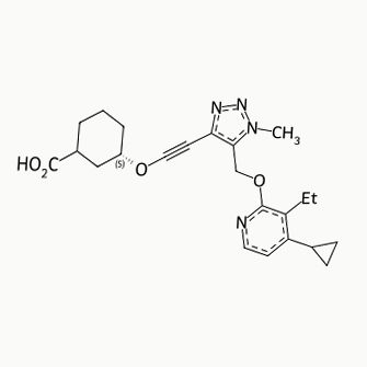 CCc1c(C2CC2)ccnc1OCc1c(C#CO[C@H]2CCCC(C(=O)O)C2)nnn1C